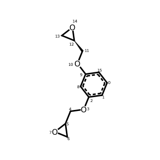 c1cc(OCC2CO2)cc(OC[C@H]2CO2)c1